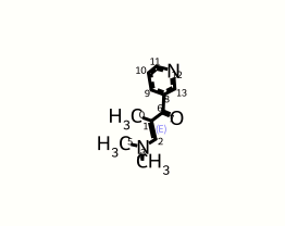 C/C(=C\N(C)C)C(=O)c1cccnc1